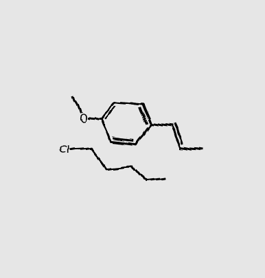 CC=Cc1ccc(OC)cc1.CCCCCCl